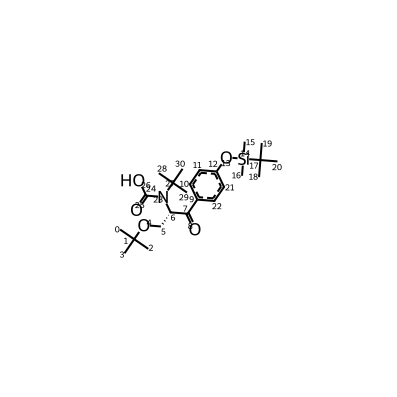 CC(C)(C)OC[C@@H](C(=O)c1ccc(O[Si](C)(C)C(C)(C)C)cc1)N(C(=O)O)C(C)(C)C